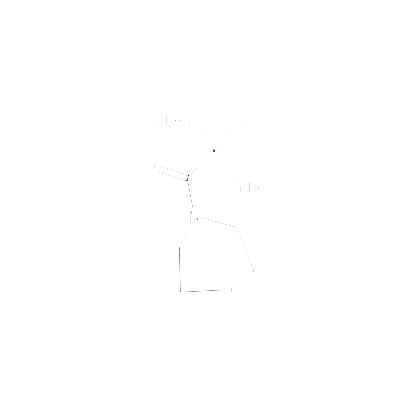 CCCCCC(C)(CCCC)C(=O)N1CCOCC1